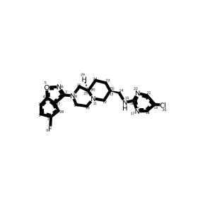 Fc1ccc2onc(N3CCN4C[C@H](CNc5ncc(Cl)cn5)CC[C@@H]4C3)c2c1